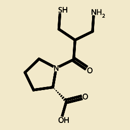 NCC(CS)C(=O)N1CCC[C@H]1C(=O)O